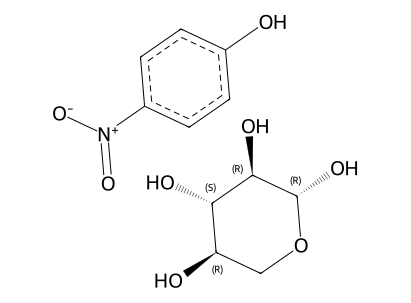 O=[N+]([O-])c1ccc(O)cc1.O[C@@H]1[C@@H](O)[C@H](O)OC[C@H]1O